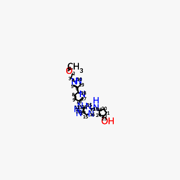 COCCn1cc(-c2ccc(-n3nnc4cnc(N[C@@H]5CC[C@@H](O)C5)nc43)cn2)cn1